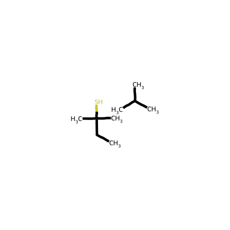 CC(C)C.CCC(C)(C)S